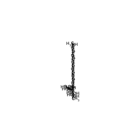 CC[C@@H](O)[C@@H](O)[C@H](O)[C@@H](O)CN(CCOCCOCCOCCOCCOCCOCCOCCOCCOCCOCCOCCOCCNC)C[C@H](O)[C@@H](O)[C@H](O)[C@H](O)CO